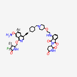 CC[C@@H]1[C@H](F)C(=O)N[C@@H]1COc1ncc(C#C[C@H]2CC[C@H](CN3CCC(OCCNc4cccc5c4C(=O)N(C4CCC(=O)NC4=O)C5=O)CC3)CC2)c2cc(C(C)=O)c(ON)cc12